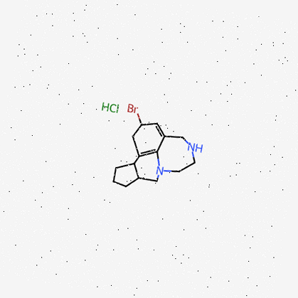 BrC1C=C2CNCCN3CC4CCCC4C(=C23)C1.Cl